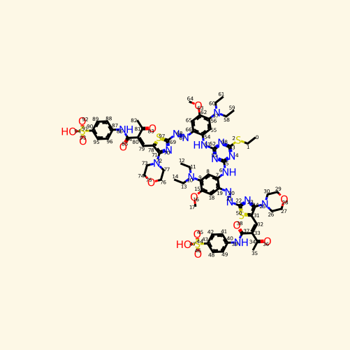 CCSc1nc(Nc2cc(N(CC)CC)c(OC)cc2/N=N/c2nc(N3CCOCC3)c(/C=C(/C(C)=O)C(=O)Nc3ccc(S(=O)(=O)O)cc3)s2)nc(Nc2cc(N(CC)CC)c(OC)cc2/N=N/c2nc(N3CCOCC3)c(/C=C(\C(C)=O)C(=O)Nc3ccc(S(=O)(=O)O)cc3)s2)n1